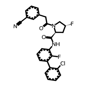 N#Cc1cccc(CC(=O)N2C[C@H](F)C[C@H]2C(=O)Nc2cccc(-c3ccccc3Cl)c2F)c1